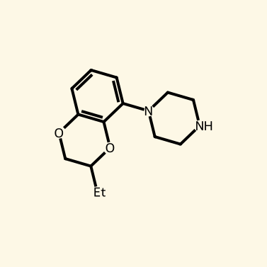 CCC1COc2cccc(N3CCNCC3)c2O1